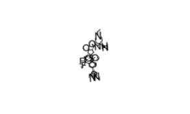 CCN1CCC(C#N)(NC(=O)[C@H]2C[C@H](S(=O)(=O)c3ccc(-c4cnn(C)c4)cc3C(F)(F)F)C[C@@H]2OC)CC1